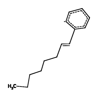 CCCCCCC=Cc1[c]cccc1